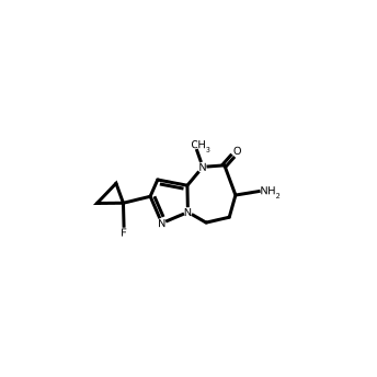 CN1C(=O)C(N)CCn2nc(C3(F)CC3)cc21